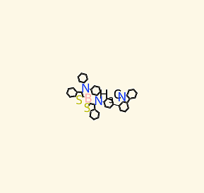 Cn1c2ccccc2c2cccc(-c3ccc(N4c5cccc6c5B(c5sc7ccccc7c5N6c5ccccc5)c5sc6ccccc6c54)cc3)c21